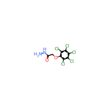 NNC(=O)COc1c(Cl)c(Cl)c(Cl)c(Cl)c1Cl